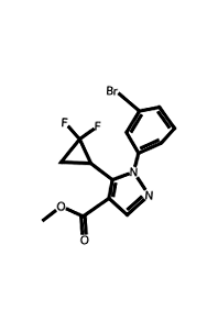 COC(=O)c1cnn(-c2cccc(Br)c2)c1C1CC1(F)F